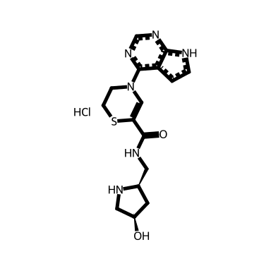 Cl.O=C(NC[C@H]1C[C@@H](O)CN1)C1=CN(c2ncnc3[nH]ccc23)CCS1